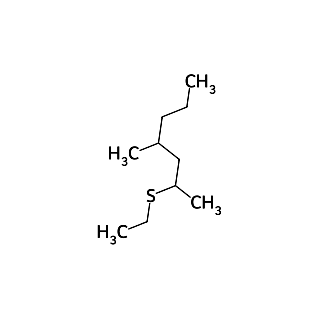 CCCC(C)CC(C)SCC